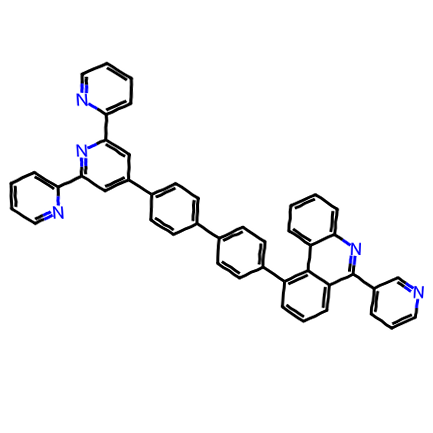 c1ccc(-c2cc(-c3ccc(-c4ccc(-c5cccc6c(-c7cccnc7)nc7ccccc7c56)cc4)cc3)cc(-c3ccccn3)n2)nc1